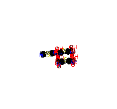 O=C(O)c1cc(Sc2ccc([N+](=O)[O-])c(C(=O)O)c2)ccc1[N+](=O)[O-].O=C(O)c1cc(Sc2ccc([N+](=O)[O-])c(C(=O)O)c2)ccc1[N+](=O)[O-].c1cc(SSc2ccncc2)ccn1